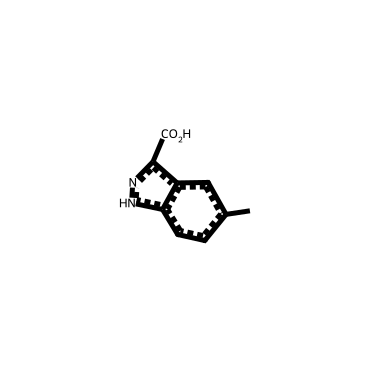 Cc1ccc2[nH]nc(C(=O)O)c2c1